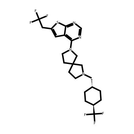 FC(F)(F)Cc1cc2c(N3CCC4(CCN(C[C@H]5CC[C@H](C(F)(F)F)CC5)C4)C3)ncnc2s1